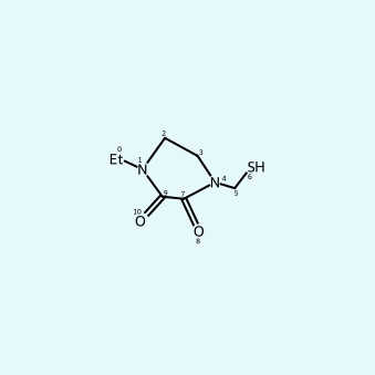 CCN1CCN(CS)C(=O)C1=O